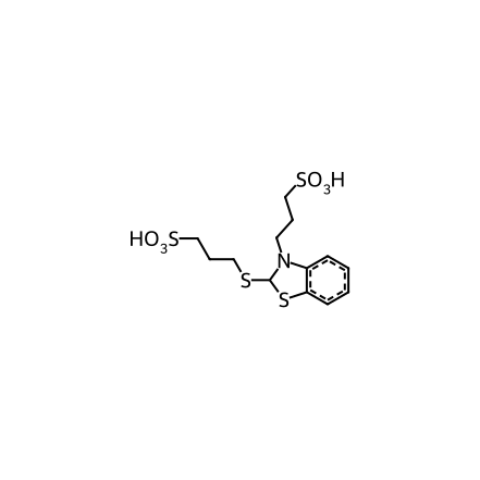 O=S(=O)(O)CCCSC1Sc2ccccc2N1CCCS(=O)(=O)O